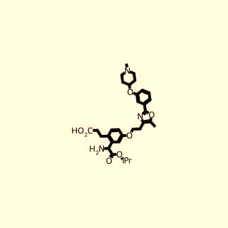 Cc1oc(-c2cccc(OC3CCN(C)CC3)c2)nc1CCOc1ccc(CCC(=O)O)c(C(N)C(=O)OC(C)C)c1